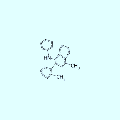 Cc1ccccc1-c1cc(C)c2ccccc2c1Nc1ccccc1